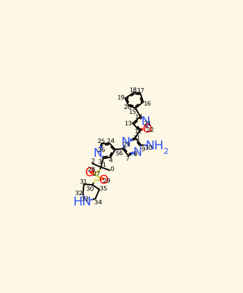 CC(C)(c1cc(-c2cnc(N)c(-c3cc(-c4ccccc4)no3)n2)ccn1)S(=O)(=O)C1CCNCC1